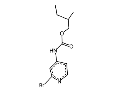 CCC(C)COC(=O)Nc1ccnc(Br)c1